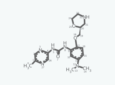 Cc1cnc(NC(=O)Nc2cc(N(C)C)ccc2OC[C@@H]2CNCCO2)cn1